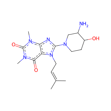 CC(C)=CCn1c(N2CCC(O)C(N)C2)nc2c1c(=O)n(C)c(=O)n2C